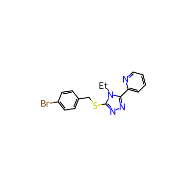 CCn1c(SCc2ccc(Br)cc2)nnc1-c1ccccn1